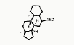 C[C@@]12CCC[C@H]1[C@@H]1CC(C=O)C3CCCC[C@]3(C)[C@H]1CC2